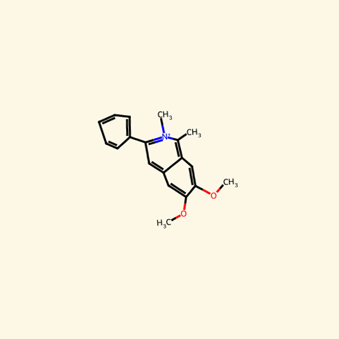 COc1cc2cc(-c3ccccc3)[n+](C)c(C)c2cc1OC